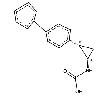 O=C(O)N[C@@H]1C[C@H]1c1ccc(-c2ccccc2)cc1